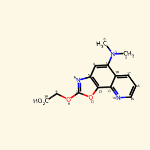 CN(C)c1cc2nc(OCC(=O)O)oc2c2ncccc12